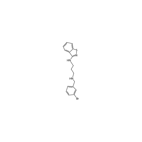 Brc1cccc(CNCCCNc2nsc3ccccc23)c1